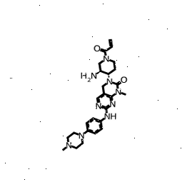 C=CC(=O)N1CC[C@H](N2Cc3cnc(Nc4ccc(N5CCN(C)CC5)cc4)nc3N(C)C2=O)[C@@H](N)C1